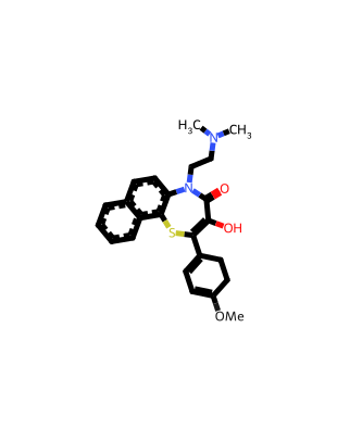 COC1=CC=C(C2=C(O)C(=O)N(CCN(C)C)c3ccc4ccccc4c3S2)CC1